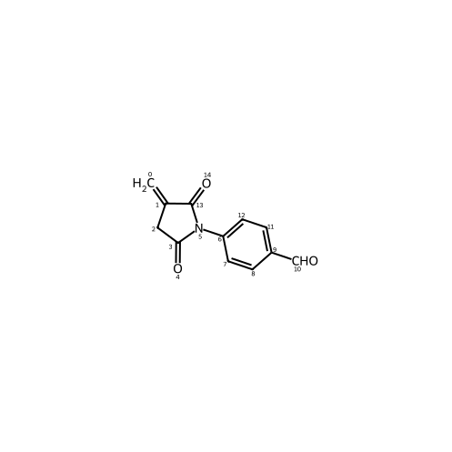 C=C1CC(=O)N(c2ccc(C=O)cc2)C1=O